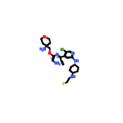 C=C/C(=N\C(=C/N)OCC1(N)CCOCC1)c1cc(N[C@H]2CC[C@H](NCCF)CC2)ncc1Cl